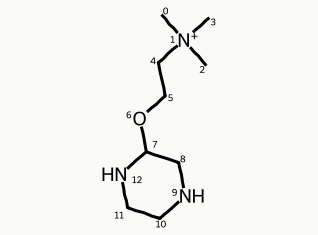 C[N+](C)(C)CCOC1CNCCN1